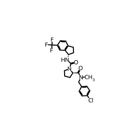 CN(Cc1ccc(Cl)cc1)C(=O)[C@H]1CCCN1C(=O)N[C@H]1CCc2ccc(C(F)(F)F)cc21